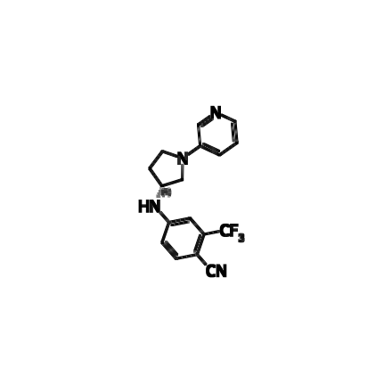 N#Cc1ccc(N[C@@H]2CCN(c3cccnc3)C2)cc1C(F)(F)F